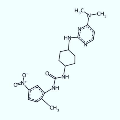 Cc1ccc([N+](=O)[O-])cc1NC(=O)NC1CCC(Nc2nccc(N(C)C)n2)CC1